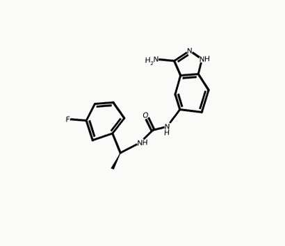 C[C@H](NC(=O)Nc1ccc2[nH]nc(N)c2c1)c1cccc(F)c1